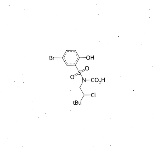 CC(C)(C)C(Cl)CN(C(=O)O)S(=O)(=O)c1cc(Br)ccc1O